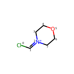 ClC=[N+]1CCOCC1